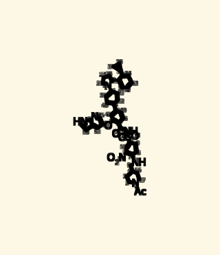 CC(=O)N1CCC(CNc2ccc(S(=O)(=O)NC(=O)c3ccc(-c4ccc(N5CCC[C@@H]5c5ccccc5C5CC5)cc4)cc3Oc3cnc4[nH]ccc4c3)cc2[N+](=O)[O-])CC1